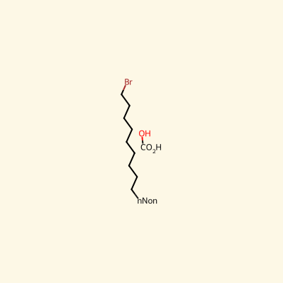 CCCCCCCCCCCCCCCCCCBr.O=C(O)O